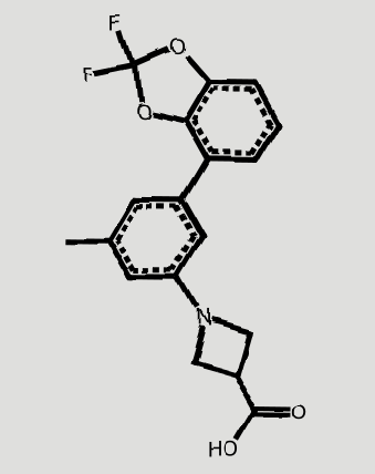 Cc1cc(-c2cccc3c2OC(F)(F)O3)cc(N2CC(C(=O)O)C2)c1